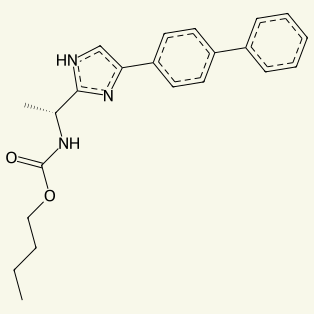 CCCCOC(=O)N[C@H](C)c1nc(-c2ccc(-c3ccccc3)cc2)c[nH]1